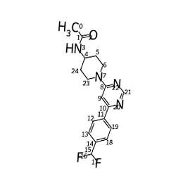 CC(=O)NC1CCN(c2cc(-c3ccc(C(F)F)cc3)ncn2)CC1